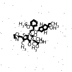 CCC1(O)C[C@H]2CC(OC(Cn3c(=O)n(C(C)(C)C(=O)O)c(=O)c4c(C)c(-c5ncco5)sc43)c3ccccc3OC)C[C@H]2C1